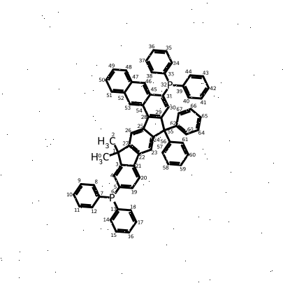 CC1(C)c2cc(P(c3ccccc3)c3ccccc3)ccc2-c2cc3c(cc21)-c1c(cc(P(c2ccccc2)c2ccccc2)c2cc4ccccc4cc12)C3(c1ccccc1)c1ccccc1